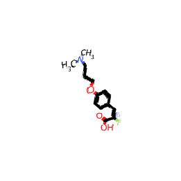 CN(C)CCCOc1ccc(/C=C(/F)C(=O)O)cc1